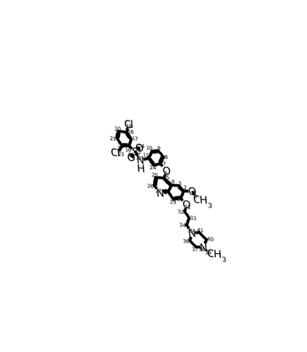 COc1cc2c(Oc3cccc(NS(=O)(=O)c4cc(Cl)ccc4Cl)c3)ccnc2cc1OCCCN1CCN(C)CC1